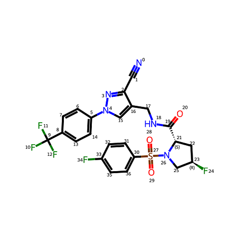 N#Cc1nn(-c2ccc(C(F)(F)F)cc2)cc1CNC(=O)[C@@H]1C[C@@H](F)CN1S(=O)(=O)c1ccc(F)cc1